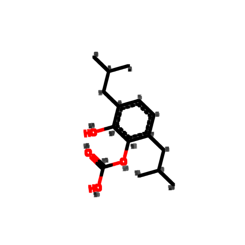 CC(C)Cc1ccc(CC(C)C)c(OC(=O)O)c1O